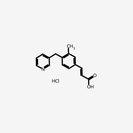 Cc1cc(C=CC(=O)O)ccc1Cc1cccnc1.Cl